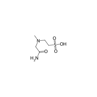 CN(CCS(=O)(=O)O)CC(N)=O